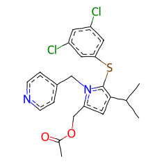 CC(=O)OCc1cc(C(C)C)c(Sc2cc(Cl)cc(Cl)c2)n1Cc1ccncc1